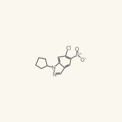 O=[N+]([O-])c1cc2cnn(C3CCCC3)c2cc1Cl